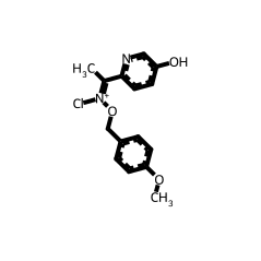 COc1ccc(CO[N+](Cl)=C(C)c2ccc(O)cn2)cc1